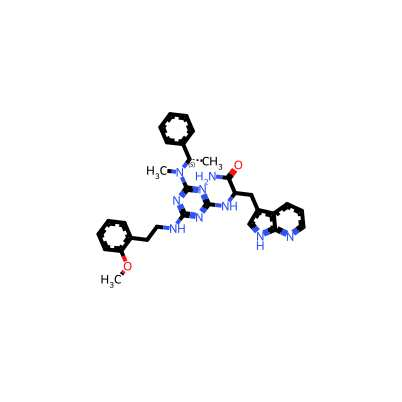 COc1ccccc1CCNc1nc(NC(Cc2c[nH]c3ncccc23)C(N)=O)nc(N(C)[C@@H](C)c2ccccc2)n1